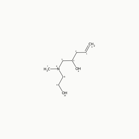 C=CCC(O)CN(C)CCO